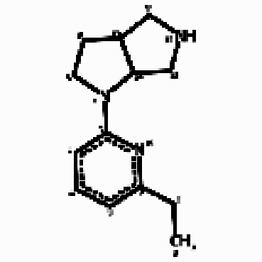 CCc1cccc(N2CCC3CNCC32)n1